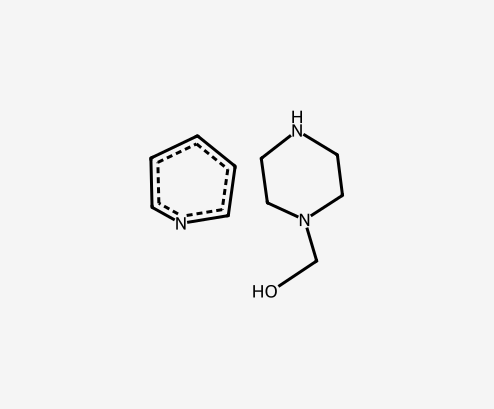 OCN1CCNCC1.c1ccncc1